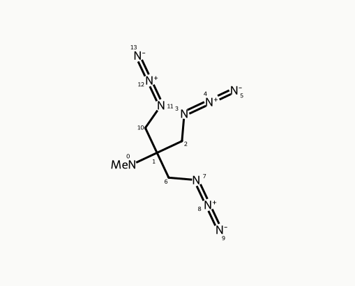 CNC(CN=[N+]=[N-])(CN=[N+]=[N-])CN=[N+]=[N-]